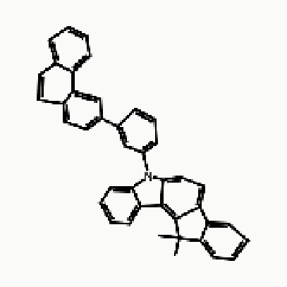 CC1(C)c2ccccc2-c2ccc3c(c21)c1ccccc1n3-c1cccc(-c2ccc3ccc4ccccc4c3c2)c1